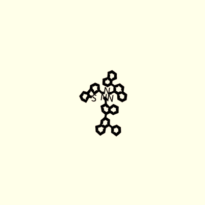 c1ccc(-c2cc(-c3ccc(-c4nc(-c5c(-c6cccc7ccccc67)ccc6ccccc56)nc(-c5cccc6c5sc5ccccc56)n4)c4ccccc34)cc3ccccc23)cc1